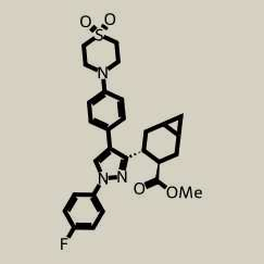 COC(=O)[C@@H]1CC2CC2C[C@H]1c1nn(-c2ccc(F)cc2)cc1-c1ccc(N2CCS(=O)(=O)CC2)cc1